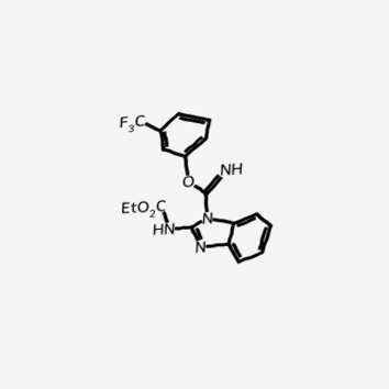 CCOC(=O)Nc1nc2ccccc2n1C(=N)Oc1cccc(C(F)(F)F)c1